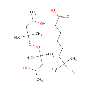 CC(C)(C)CCCCCC(=O)O.CC(O)CC(C)(C)OOC(C)(C)CC(C)O